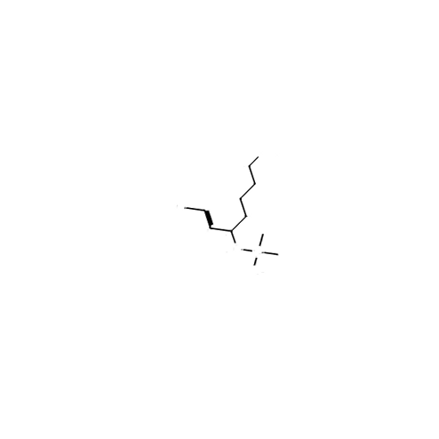 CC(C)(C)[Si](C)(C)OC(C=CI)CCCCC(F)(F)F